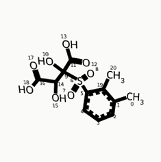 Cc1cccc(S(=O)(=O)C(O)(C(=O)O)C(O)C(=O)O)c1C